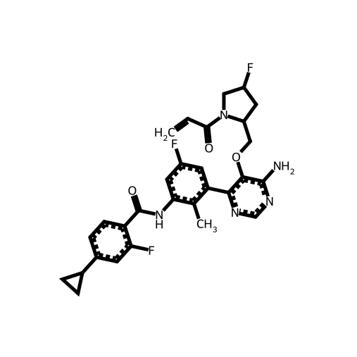 C=CC(=O)N1CC(F)CC1COc1c(N)ncnc1-c1cc(F)cc(NC(=O)c2ccc(C3CC3)cc2F)c1C